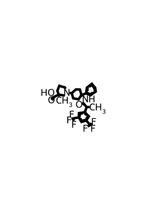 CC(C(=O)NC1(c2ccccc2)CCC(N2CCCC(C)(C(=O)O)C2)CC1)c1cc(C(F)(F)F)cc(C(F)(F)F)c1